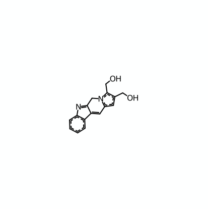 OCc1cc2n(c1CO)CC1=Nc3ccccc3C1=C2